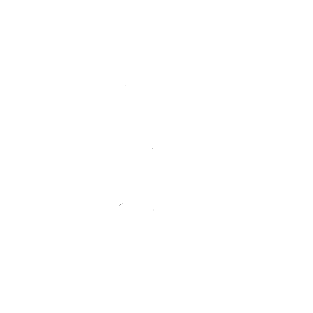 COc1cccc(CNC(=O)C(=O)[C@H](CC(F)(F)F)N(C=O)OC(C)(C)C)c1